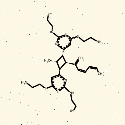 C=C(/C=C\C=C/C)[C@H]1[C@@H](c2cc(SCCN)nc(NCCC(C)C)n2)[C@H](C)[C@@H]1c1cc(SCCN)nc(NCCC(C)C)n1